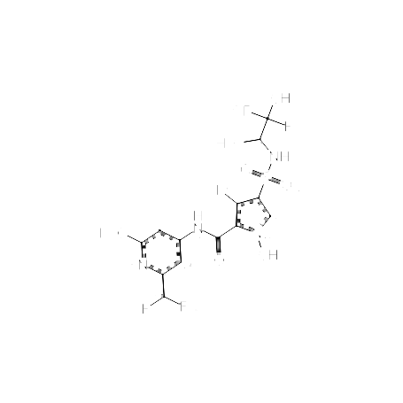 Cc1cc(NC(=O)c2c(F)c(S(=O)(=O)NC(C)C(C)(F)F)cn2C)cc(C(F)F)n1